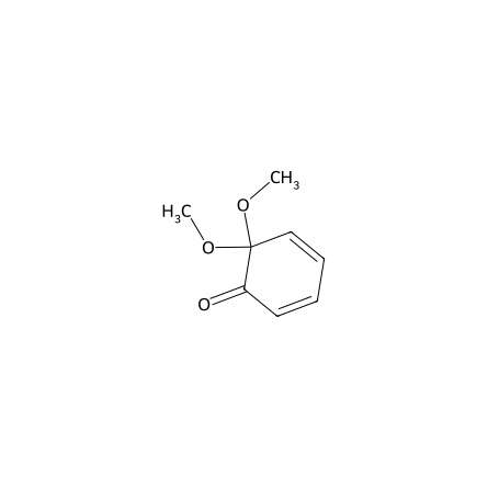 COC1(OC)C=CC=CC1=O